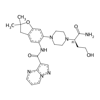 CC1(C)Cc2cc(NC(=O)c3cnn4cccnc34)c(N3CCN([C@H](CCO)C(N)=O)CC3)cc2O1